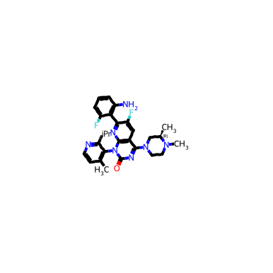 Cc1ccnc(C(C)C)c1-n1c(=O)nc(N2CCN(C)[C@H](C)C2)c2cc(F)c(-c3c(N)cccc3F)nc21